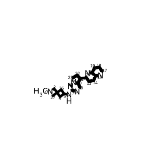 CN1CC2(CC(Nc3ncc4c(-c5ccc6ncccc6n5)ccn4n3)C2)C1